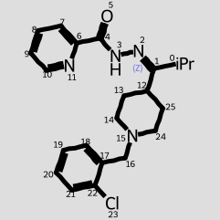 CC(C)/C(=N/NC(=O)c1ccccn1)C1CCN(Cc2ccccc2Cl)CC1